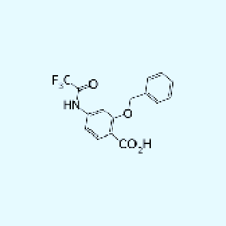 O=C(O)c1ccc(NC(=O)C(F)(F)F)cc1OCc1ccccc1